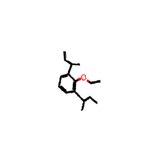 CCOc1c(C(C)CC)cccc1C(C)CC